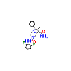 Cc1c(C(N)=O)c2n(c1-c1ccccc1)CCN(C(=O)Nc1c(F)cccc1F)C2